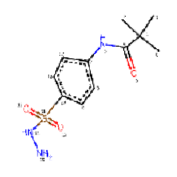 CC(C)(C)C(=O)Nc1ccc(S(=O)(=O)NN)cc1